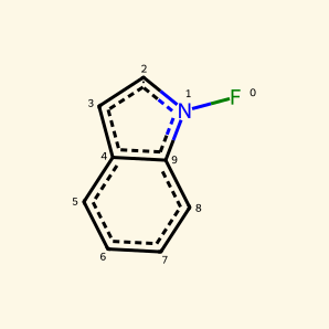 Fn1[c]cc2ccccc21